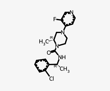 C[C@@H]1CN(c2ccncc2F)CCN1C(=O)N[C@H](C)c1ccccc1Cl